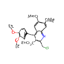 CCOC(=O)c1c(CCl)nc2cc(OC)c(OC)cc2c1-c1ccc(OCC)c(OCC)c1